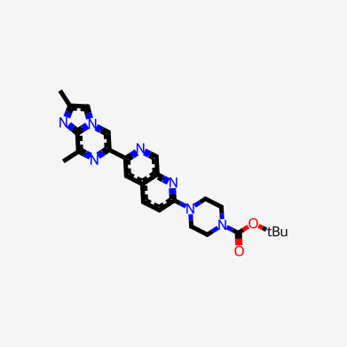 Cc1cn2cc(-c3cc4ccc(N5CCN(C(=O)OC(C)(C)C)CC5)nc4cn3)nc(C)c2n1